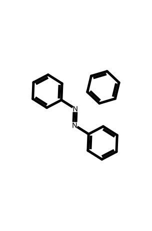 c1ccc(N=Nc2ccccc2)cc1.c1ccccc1